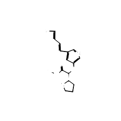 CC(C)(C)/C=C/C=C/c1cncc(OC(C(=O)OC(C)(C)C)[C@H]2CCCN2)c1